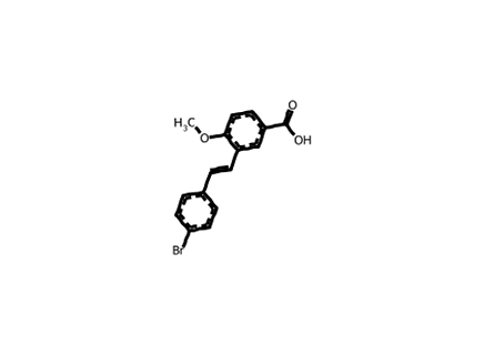 COc1ccc(C(=O)O)cc1C=Cc1ccc(Br)cc1